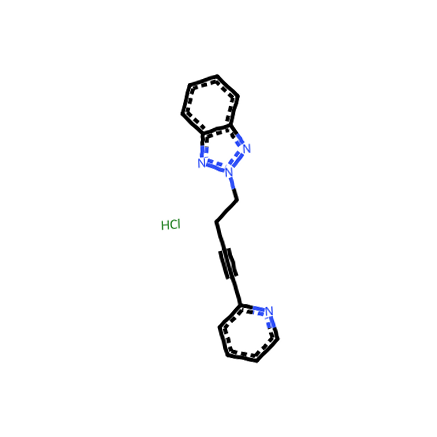 C(#Cc1ccccn1)CCn1nc2ccccc2n1.Cl